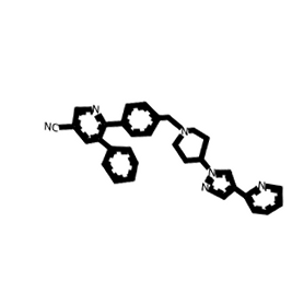 N#Cc1cnc(-c2ccc(CN3CCC(n4cc(-c5ccccn5)cn4)CC3)cc2)c(-c2ccccc2)c1